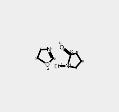 C1=NCCO1.CCN1CCCC1=O